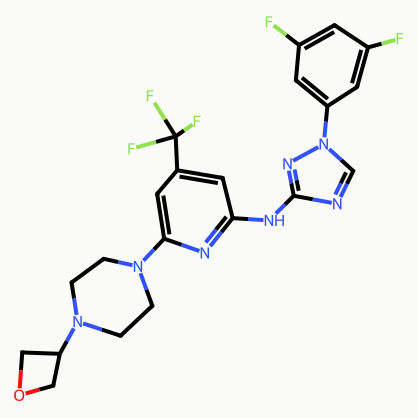 Fc1cc(F)cc(-n2cnc(Nc3cc(C(F)(F)F)cc(N4CCN(C5COC5)CC4)n3)n2)c1